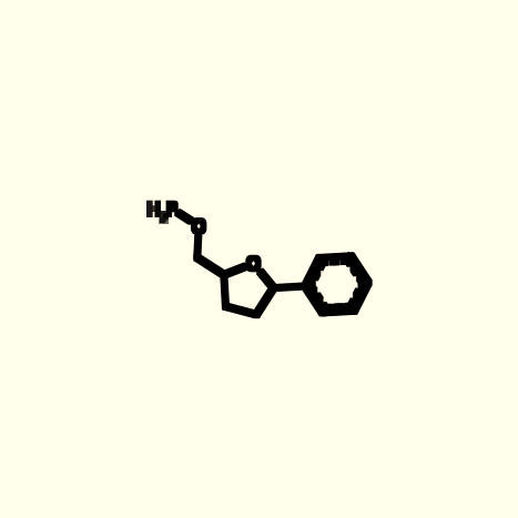 POCC1CCC(c2ccccc2)O1